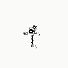 Cl.NCCCCCCOc1cccc2c1C(N)=NS(=O)(=O)N2